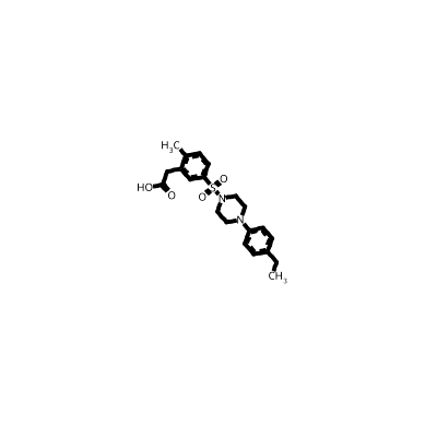 CCc1ccc(N2CCN(S(=O)(=O)c3ccc(C)c(CC(=O)O)c3)CC2)cc1